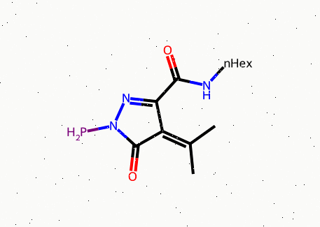 CCCCCCNC(=O)C1=NN(P)C(=O)C1=C(C)C